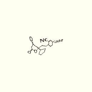 COc1ccc(CCC2(C3CCCC3)CC(=O)CC(=O)O2)c(C#N)c1